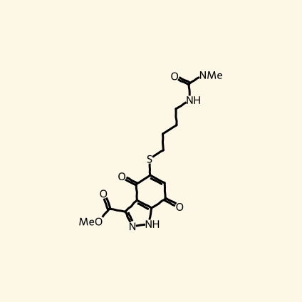 CNC(=O)NCCCCSC1=CC(=O)c2[nH]nc(C(=O)OC)c2C1=O